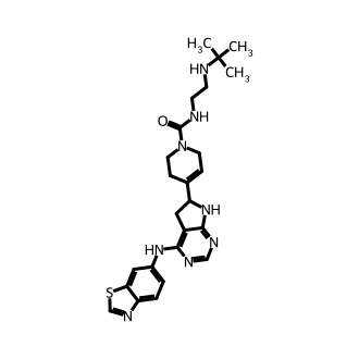 CC(C)(C)NCCNC(=O)N1CC=C(C2Cc3c(Nc4ccc5ncsc5c4)ncnc3N2)CC1